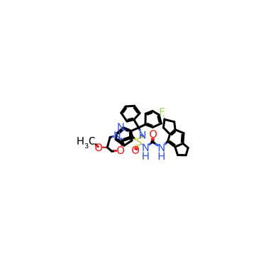 CO[C@@H]1COc2c([S@](=O)(=NC(c3ccccc3)(c3ccccc3)c3ccccc3)NC(=O)Nc3c4c(cc5c3C[C@H](F)C5)CCC4)cnn2C1